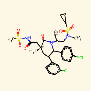 CCC(CN(C)S(=O)(=O)C1CC1)N1C(=O)[C@@](C)(CC(=O)NS(C)(=O)=O)CC(c2cccc(Cl)c2)C1c1ccc(Cl)cc1